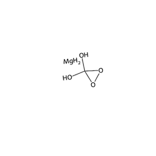 OC1(O)OO1.[MgH2]